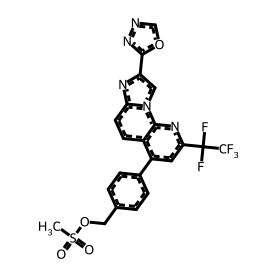 CS(=O)(=O)OCc1ccc(-c2cc(C(F)(F)C(F)(F)F)nc3c2ccc2nc(-c4nnco4)cn23)cc1